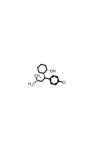 CN(C)CC(c1ccc(Cl)cc1)[C@H]1CCCC[C@@H]1O